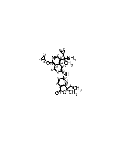 CC[C@@]1(C)OC(=O)c2ccc(Nc3cc4c(C(C)(N)C5CC5)cnc(OC5CC5)c4cn3)nc21